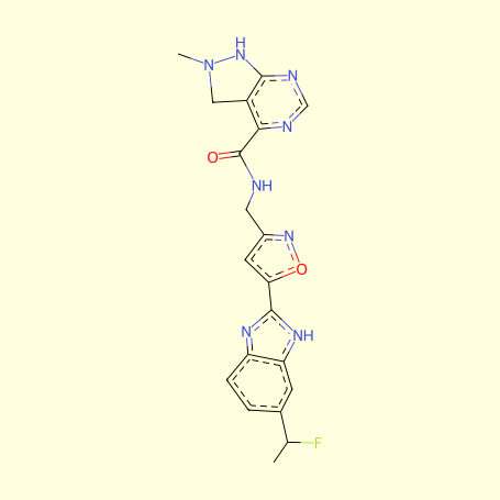 CC(F)c1ccc2nc(-c3cc(CNC(=O)c4ncnc5c4CN(C)N5)no3)[nH]c2c1